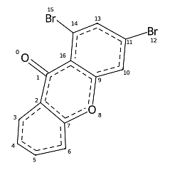 O=c1c2ccccc2oc2cc(Br)cc(Br)c12